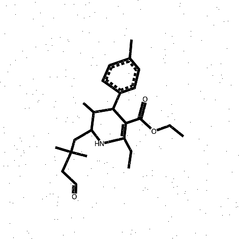 CCOC(=O)C1=C(CC)NC(CC(C)(C)CC=O)C(C)C1c1ccc(C)cc1